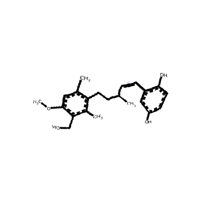 COc1cc(C)c(CCC(C)/C=C\c2cc(O)ccc2O)c(C)c1CO